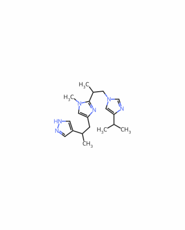 CC(C)c1cn(CC(C)c2nc(CC(C)c3cn[nH]c3)cn2C)cn1